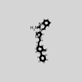 N=C(N)N(Cc1ccccc1)c1cc(CCc2ccc(-c3ccccc3)c(F)c2)on1